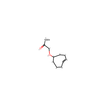 CNC(=O)COC1CC/C=C/CCC1